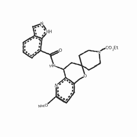 CCOC(=O)N1CCC2(CC1)CC(NC(=O)c1cccc3cn[nH]c13)c1nc(OC)ccc1O2